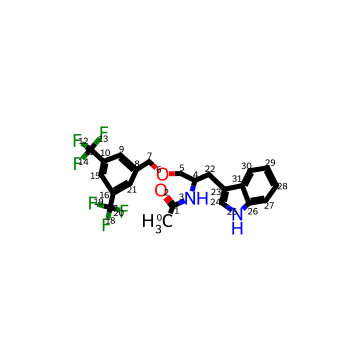 CC(=O)NC(COCc1cc(C(F)(F)F)cc(C(F)(F)F)c1)Cc1c[nH]c2ccccc12